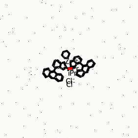 CC(C)CC1=Cc2c(-c3c4ccccc4cc4ccccc34)cccc2[CH]1[Zr+2]1([CH]2C(CC(C)C)=Cc3c(-c4c5ccccc5cc5ccccc45)cccc32)[CH]2CCCC[CH]21.[Cl-].[Cl-]